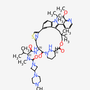 CCn1c(-c2cccnc2[C@H](C)OC)c2c3cc(ccc31)-c1csc(n1)C[C@H](NC(=O)[C@H](C(C)C)N(C)C(=O)N1CC(N3CCN(C)CC3)C1)C(=O)N1CCC[C@H](N1)C(=O)OCC(C)(C)C2